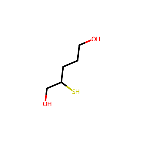 OCCCC(S)CO